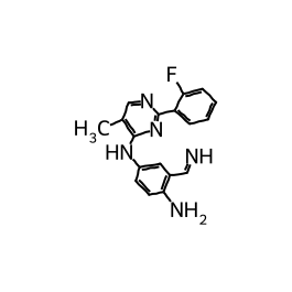 Cc1cnc(-c2ccccc2F)nc1Nc1ccc(N)c(C=N)c1